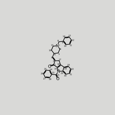 O=C1C(=CC2CCN(Cc3ccccc3)CC2)Cc2c1n(C(=O)c1ccccc1)c1ccccc21